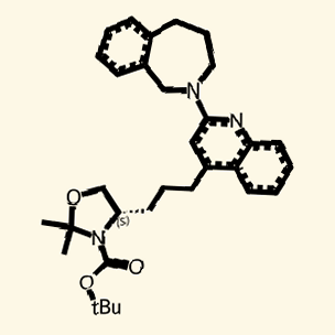 CC(C)(C)OC(=O)N1[C@@H](CCCc2cc(N3CCCc4ccccc4C3)nc3ccccc23)COC1(C)C